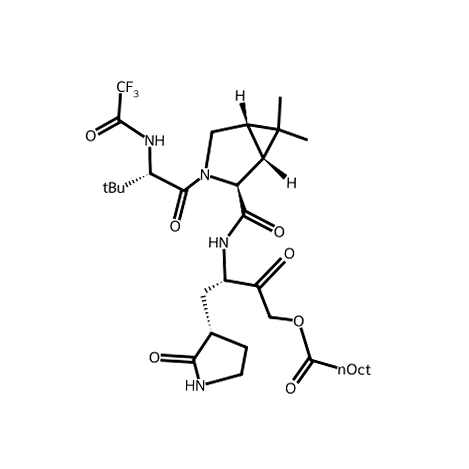 CCCCCCCCC(=O)OCC(=O)[C@H](C[C@@H]1CCNC1=O)NC(=O)[C@@H]1[C@@H]2[C@H](CN1C(=O)[C@@H](NC(=O)C(F)(F)F)C(C)(C)C)C2(C)C